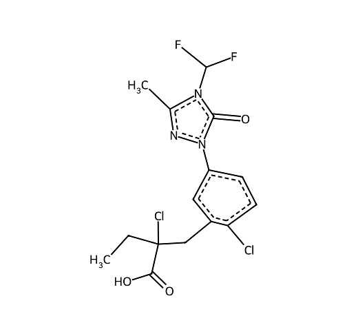 CCC(Cl)(Cc1cc(-n2nc(C)n(C(F)F)c2=O)ccc1Cl)C(=O)O